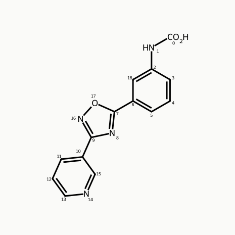 O=C(O)Nc1cccc(-c2nc(-c3cccnc3)no2)c1